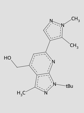 Cc1nn(C(C)(C)C)c2nc(-c3cnn(C)c3C)cc(CO)c12